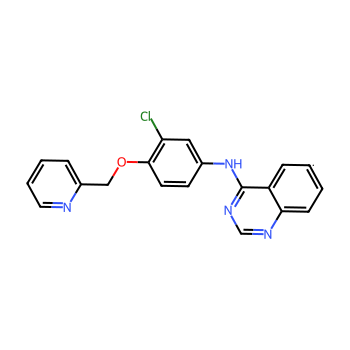 Clc1cc(Nc2ncnc3cc[c]cc23)ccc1OCc1ccccn1